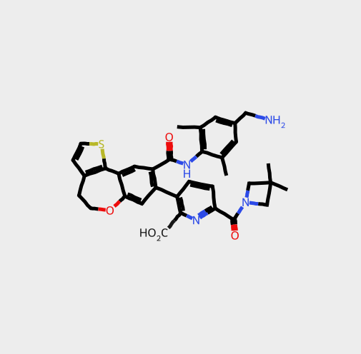 Cc1cc(CN)cc(C)c1NC(=O)c1cc2c(cc1-c1ccc(C(=O)N3CC(C)(C)C3)nc1C(=O)O)OCCc1ccsc1-2